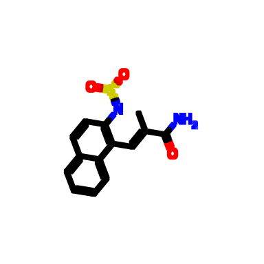 CC(=Cc1c(N=S(=O)=O)ccc2ccccc12)C(N)=O